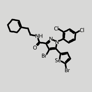 O=C(NCCC1=CCCCC1)c1nn(-c2ccc(Cl)cc2Cl)c(-c2ccc(Br)[se]2)c1Br